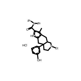 CCN1CCC2(c3cccc(O)c3)Cc3[nH]c(C(=O)N(C(C)C)C(C)C)c(C)c3CC2C1.Cl